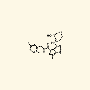 O=C(NCc1cc(F)ccc1F)c1n[nH]c2ncnc(N[C@@H]3CCOC[C@H]3O)c12